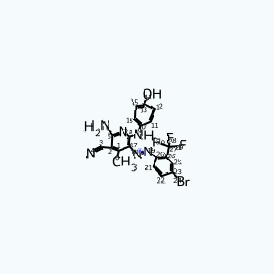 Cc1c(C#N)c(N)nc(Nc2ccc(O)cc2)c1/N=N/c1ccc(Br)cc1C(F)(F)F